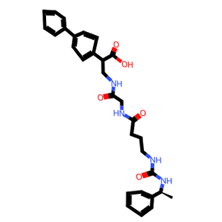 C[C@H](NC(=O)NCCCC(=O)NCC(=O)NCC(C(=O)O)c1ccc(-c2ccccc2)cc1)c1ccccc1